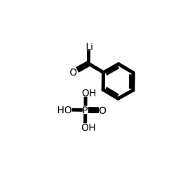 O=P(O)(O)O.[Li][C](=O)c1ccccc1